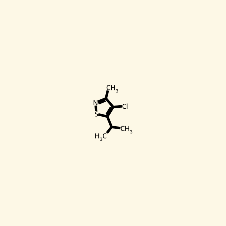 Cc1nsc(C(C)C)c1Cl